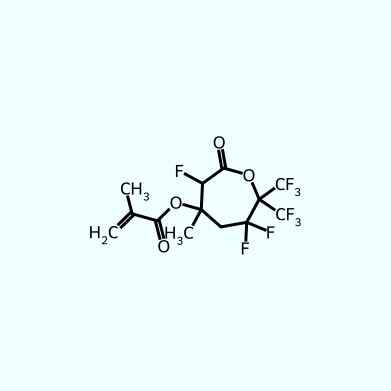 C=C(C)C(=O)OC1(C)CC(F)(F)C(C(F)(F)F)(C(F)(F)F)OC(=O)C1F